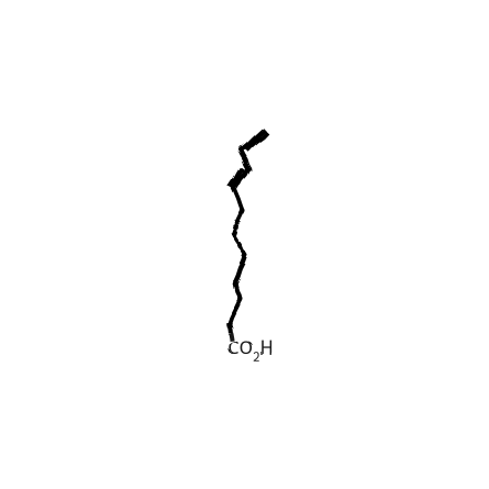 C=CC=CCCCCCCC(=O)O